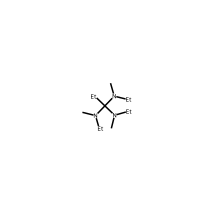 [CH2]CC(N(C)CC)(N(C)CC)N(C)CC